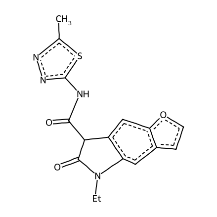 CCN1C(=O)C(C(=O)Nc2nnc(C)s2)c2cc3occc3cc21